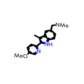 CNCc1ccc2[nH]c(-c3ccc(OC)cn3)c(C)c2c1